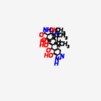 C[C@H]1c2cc3nc[nH]c3c(O)c2C(=O)C2=C(O)[C@]3(O)C(=O)C(C(N)=O)=C(O)[C@@H](N(C)C)[C@@H]3C[C@@H]21